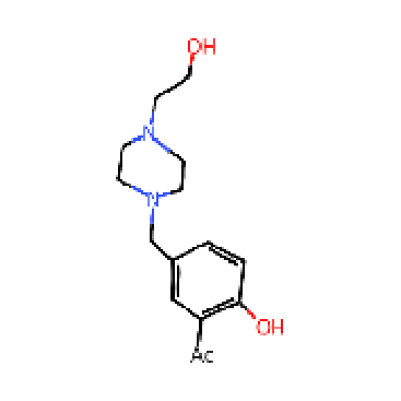 CC(=O)c1cc(CN2CCN(CCO)CC2)ccc1O